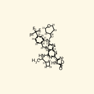 C[C@@H](Nc1nc(-c2noc(=O)[nH]2)nc2nc(NCC3CCOCC3)n(Cc3ccc(C(F)(F)F)cc3)c12)C1CCC1